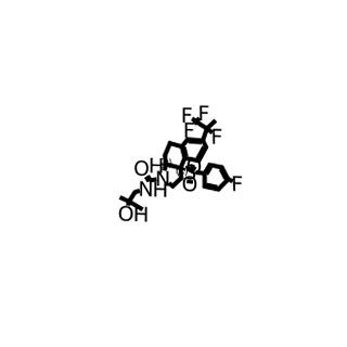 CC(C)(O)CNC(=O)N1CC[C@@]2(S(=O)(=O)c3ccc(F)cc3)c3ccc(C(C)(F)C(F)(F)F)cc3CC[C@@H]12